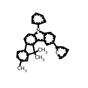 Cc1ccc2c(c1)C(C)(C)c1c-2ccc2c1c1cc(-c3ccccc3)ccc1n2-c1ccccc1